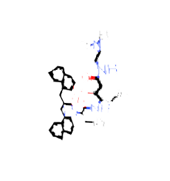 CCN(CC)CCNC(=O)C[C@H](O)[C@H](CC(C)C)NC(=O)[C@H](CC(C)C)NC(=O)C(Cc1cccc2ccccc12)Cc1cccc2ccccc12